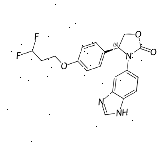 O=C1OC[C@H](c2ccc(OCCC(F)F)cc2)N1c1ccc2[nH]cnc2c1